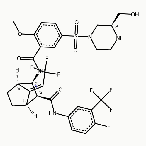 COc1ccc(S(=O)(=O)N2CCN[C@H](CO)C2)cc1C(=O)N[C@H]1[C@@H](C(=O)Nc2ccc(F)c(C(F)(F)F)c2)[C@H]2CC[C@@H]1/C2=C\C(F)(F)F